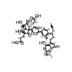 C#CCN(CCc1c[nH]c2nc(N)nc(O)c12)c1ccc(C(=O)N[C@@H](CCC(=O)O)C(=O)C(C[C@H](N)C(=O)O)(C(=O)O)C(=O)[C@@H](N)CCC(=O)O)cc1F